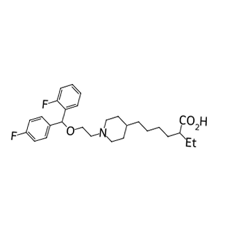 CCC(CCCCC1CCN(CCOC(c2ccc(F)cc2)c2ccccc2F)CC1)C(=O)O